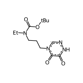 CCN(CCCn1[c]n[nH]c(=O)c1=O)C(=O)OC(C)(C)C